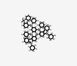 CC1(C)c2ccccc2-c2c(N(c3ccccc3)c3cc4c5c(c3)N(c3ccccc3)c3c(ccc6c3c3ccccc3n6-c3ccccc3)B5c3ccc5c(c3N4c3ccccc3)c3ccccc3n5-c3ccccc3)cccc21